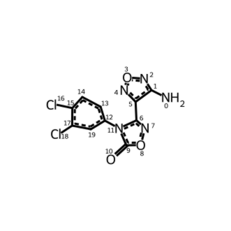 Nc1nonc1-c1noc(=O)n1-c1ccc(Cl)c(Cl)c1